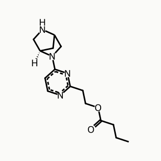 CCCC(=O)OCCc1nccc(N2CC3C[C@@H]2CN3)n1